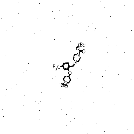 CC(C)(C)OC(=O)N1CCN(Cc2ccc(C(F)(F)F)cc2OC2CCS(=O)(=O)CC2)CC1